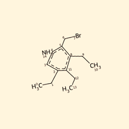 CCc1ccc(CBr)c(CC)c1CC.N